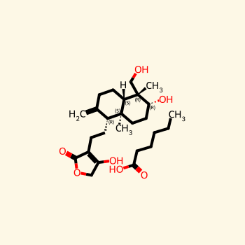 C=C1CC[C@@H]2[C@](C)(CO)[C@H](O)CC[C@@]2(C)[C@@H]1CCC1=C(O)COC1=O.CCCCCC(=O)O